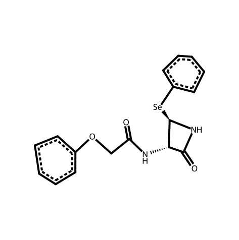 O=C(COc1ccccc1)N[C@H]1C(=O)N[C@@H]1[Se]c1ccccc1